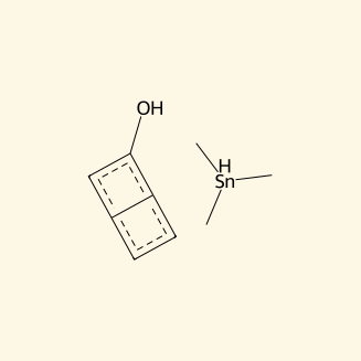 Oc1cc2ccc1-2.[CH3][SnH]([CH3])[CH3]